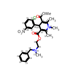 COC(=O)C1=C(C)N(C)C(C)=C(C(=O)OCCN(C)Cc2ccccc2)C1c1cc([N+](=O)[O-])ccc1Cl